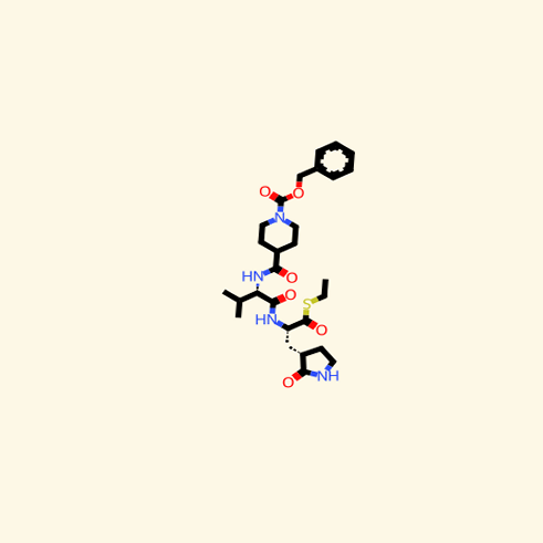 CCSC(=O)[C@H](C[C@@H]1CCNC1=O)NC(=O)[C@@H](NC(=O)C1CCN(C(=O)OCc2ccccc2)CC1)C(C)C